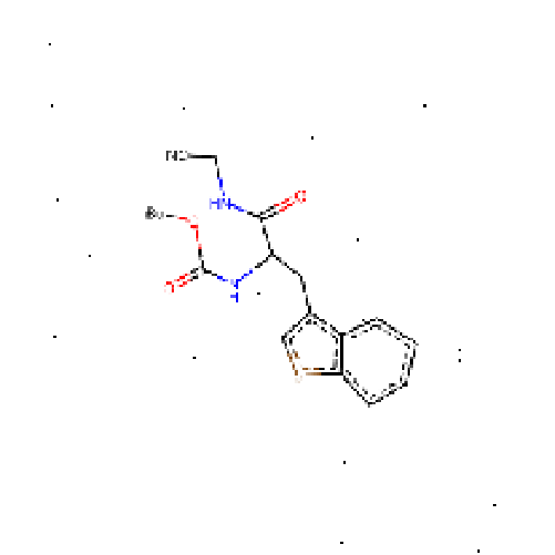 CCCCOC(=O)NC(Cc1csc2ccccc12)C(=O)NCC#N